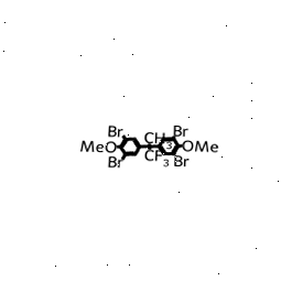 COc1c(Br)cc(C(C)(c2cc(Br)c(OC)c(Br)c2)C(F)(F)F)cc1Br